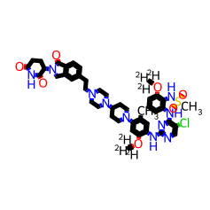 [2H]C([2H])([2H])Oc1cc(N2CCC(N3CCN(CCc4ccc5c(c4)CN(C4CCC(=O)NC4=O)C5=O)CC3)CC2)c(C)cc1Nc1ncc(Cl)c(Nc2cccc(OC([2H])([2H])[2H])c2NS(C)(=O)=O)n1